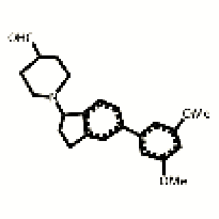 COc1cc(OC)cc(-c2ccc3c(c2)CCC3N2CCC(C=O)CC2)c1